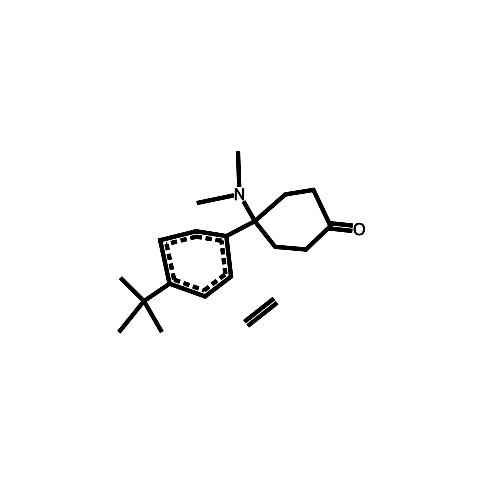 C=C.CN(C)C1(c2ccc(C(C)(C)C)cc2)CCC(=O)CC1